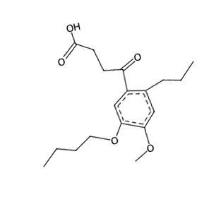 CCCCOc1cc(C(=O)CCC(=O)O)c(CCC)cc1OC